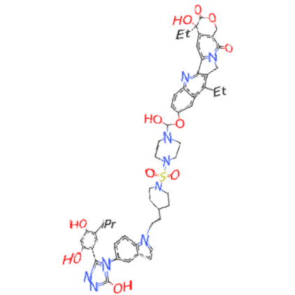 CCc1c2c(nc3ccc(OC(O)N4CCN(S(=O)(=O)N5CCC(CCn6ccc7cc(-n8c(O)nnc8-c8cc(C(C)C)c(O)cc8O)ccc76)CC5)CC4)cc13)-c1cc3c(c(=O)n1C2)COC(=O)C3(O)CC